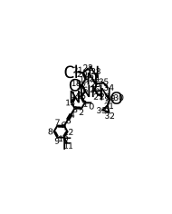 Cc1cc(C#Cc2cccc(F)c2)cnc1NC(=O)c1c(Cl)cnn1C1CCN(C(=O)C2CC2)CC1